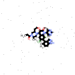 C=CC(=O)N1CC2CCOc3c(c4cc(Cl)c(-c5c(C)ccc6[nH]ncc56)c(F)c4n(-c4c(C(C)C)ncnc4C(C)C)c3=O)N2CC1C